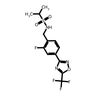 CC(C)S(=O)(=O)NCc1ccc(-c2noc(C(F)(F)F)n2)cc1F